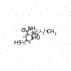 CCCCC(=O)Nc1ccc(CS)cc1C(N)=O